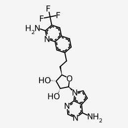 Nc1nc2cc(CC[C@H]3O[C@@H](n4ccc5c(N)ncnc54)[C@H](O)[C@@H]3O)ccc2cc1C(F)(F)F